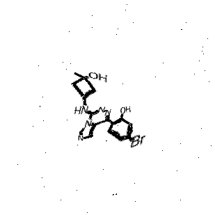 CC1(O)CC(Nc2nnc(-c3ccc(Br)cc3O)c3cncn23)C1